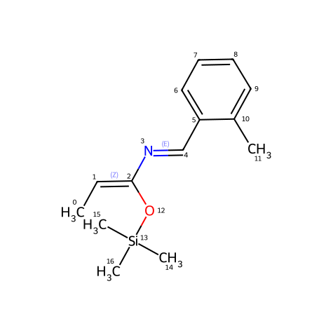 C/C=C(/N=C/c1ccccc1C)O[Si](C)(C)C